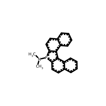 CN(C)p1c2ccc3ccccc3c2c2c3ccccc3ccc21